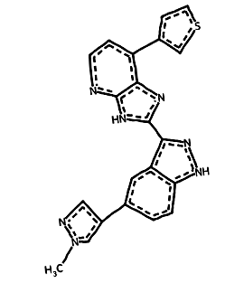 Cn1cc(-c2ccc3[nH]nc(-c4nc5c(-c6ccsc6)ccnc5[nH]4)c3c2)cn1